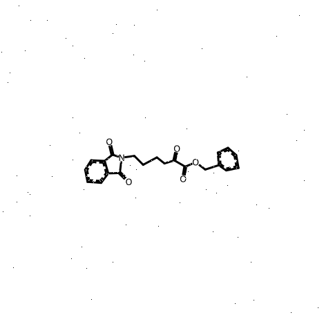 O=C(CCCCN1C(=O)c2ccccc2C1=O)C(=O)OCc1ccccc1